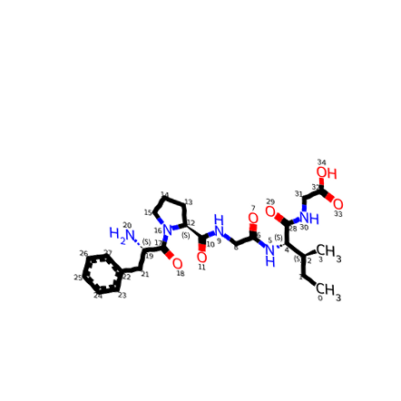 CC[C@H](C)[C@H](NC(=O)CNC(=O)[C@@H]1CCCN1C(=O)[C@@H](N)Cc1ccccc1)C(=O)NCC(=O)O